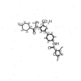 Cc1nc(C)c(C(=O)Nc2ccc(-c3cc(N(C(=O)C4CCC(C)CC4)C(C)C)c(C(=O)O)s3)cc2)o1